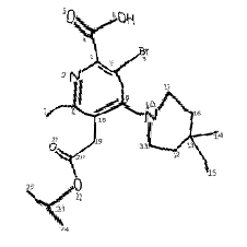 Cc1nc(C(=O)O)c(Br)c(N2CCC(C)(C)CC2)c1CC(=O)OC(C)C